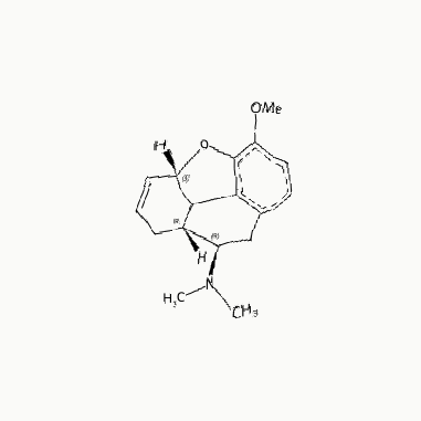 COc1ccc2c3c1O[C@H]1C=CC[C@H](C31)[C@H](N(C)C)C2